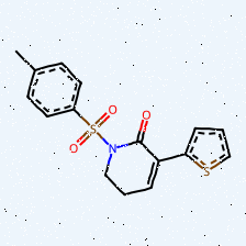 Cc1ccc(S(=O)(=O)N2CCC=C(c3cccs3)C2=O)cc1